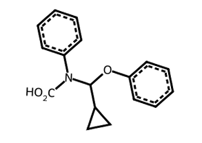 O=C(O)N(c1ccccc1)C(Oc1ccccc1)C1CC1